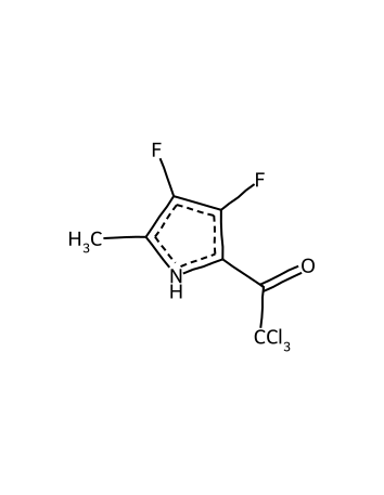 Cc1[nH]c(C(=O)C(Cl)(Cl)Cl)c(F)c1F